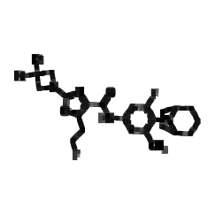 CCC1(CC)CN(c2nc(C(=O)Nc3cc(C)c(N4C5CCCC4CC5)c(F)c3)c(CCF)o2)C1